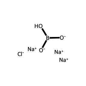 [Cl-].[Na+].[Na+].[Na+].[O-]B([O-])O